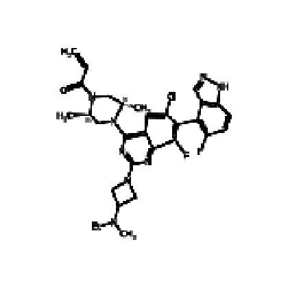 C=CC(=O)N1C[C@H](C)N(c2nc(N3CC(N(C)CC)C3)nc3c(F)c(-c4c(F)ccc5[nH]ncc45)c(Cl)cc23)C[C@H]1C